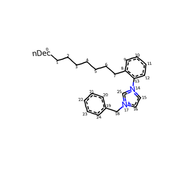 CCCCCCCCCCCCCCCCCc1ccccc1-n1cc[n+](Cc2ccccc2)c1